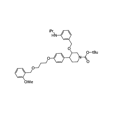 COc1ccccc1COCCCOc1ccc(C2CCN(C(=O)OC(C)(C)C)CC2OCc2cccc(NC(C)C)c2)cc1